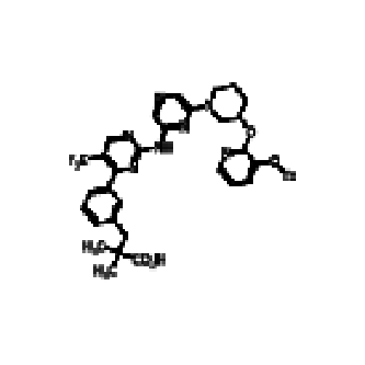 CCOc1cccnc1O[C@@H]1CCCN(c2cncc(Nc3ncc(C(F)(F)F)c(-c4cccc(CC(C)(C)C(=O)O)c4)n3)n2)C1